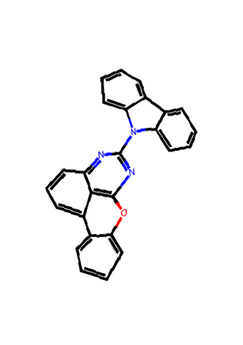 c1ccc2c(c1)Oc1nc(-n3c4ccccc4c4ccccc43)nc3cccc-2c13